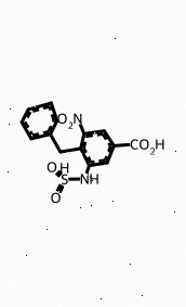 O=C(O)c1cc(N[SH](=O)=O)c(Cc2ccccc2)c([N+](=O)[O-])c1